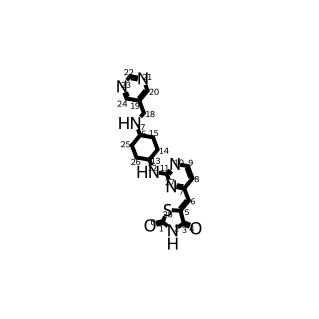 O=C1NC(=O)C(=Cc2ccnc(NC3CCC(NCc4cncnc4)CC3)n2)S1